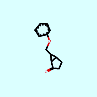 O=C1CCC2C(COc3ccccc3)C12